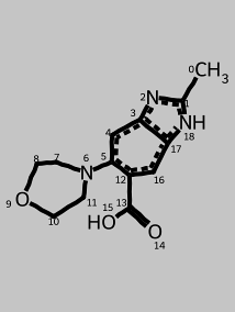 Cc1nc2cc(N3CCOCC3)c(C(=O)O)cc2[nH]1